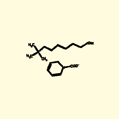 CCCCCCCCCCCCCCCC[N+](C)(C)C.O=C([O-])N1C=CC=CC1